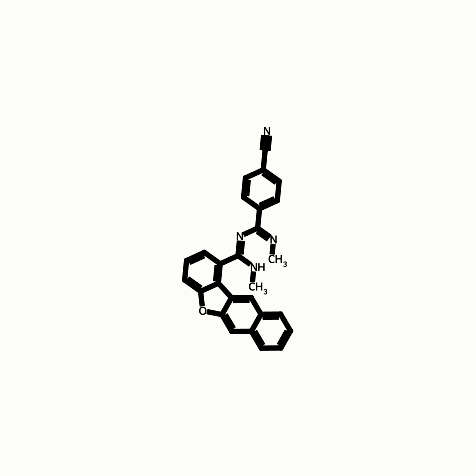 C/N=C(\N=C(/NC)c1cccc2oc3cc4ccccc4cc3c12)c1ccc(C#N)cc1